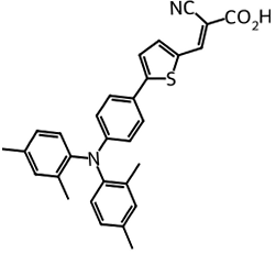 Cc1ccc(N(c2ccc(-c3ccc(/C=C(\C#N)C(=O)O)s3)cc2)c2ccc(C)cc2C)c(C)c1